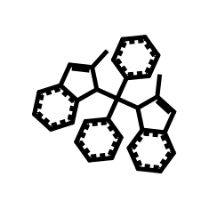 CC1=Cc2ccccc2C1C(c1ccccc1)(c1ccccc1)C1C(C)=Cc2ccccc21